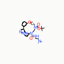 CN(C)CCNC(=O)N1CCN(C(=O)OC(C)(C)C)CCOc2cccc(c2)-c2cnn3ccc1nc23